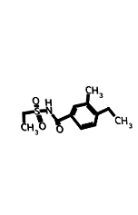 CCc1ccc(C(=O)NS(=O)(=O)CC)cc1C